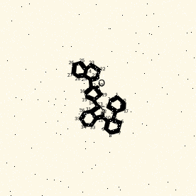 c1cccc(-c2ccccc2-c2sc(-c3ccc4c(c3)oc3ccc5ccccc5c34)c3c2CCC=C3)c#1